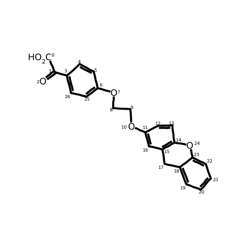 O=C(O)C(=O)c1ccc(OCCOc2ccc3c(c2)Cc2ccccc2O3)cc1